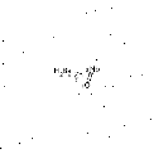 [BaH2].[O]=[Nb].[Zn]